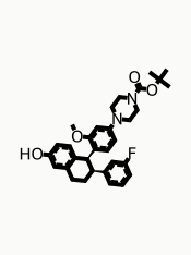 COc1cc(N2CCN(C(=O)OC(C)(C)C)CC2)ccc1[C@@H]1c2ccc(O)cc2CC[C@@H]1c1cccc(F)c1